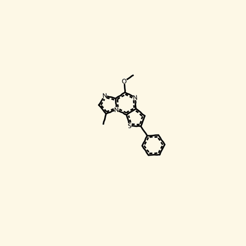 COc1nc2cc(-c3ccccc3)sc2n2c(C)cnc12